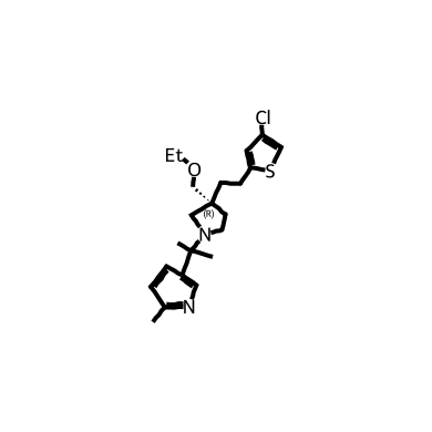 CCOC[C@]1(CCc2cc(Cl)cs2)CCN(C(C)(C)c2ccc(C)nc2)C1